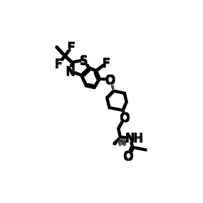 CC(=O)N[C@@H](C)CO[C@H]1CC[C@H](Oc2ccc3nc(C(C)(F)F)sc3c2F)CC1